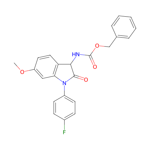 COc1ccc2c(c1)N(c1ccc(F)cc1)C(=O)C2NC(=O)OCc1ccccc1